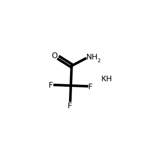 NC(=O)C(F)(F)F.[KH]